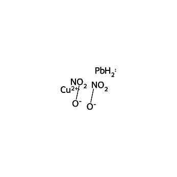 O=[N+]([O-])[O-].O=[N+]([O-])[O-].[Cu+2].[PbH2]